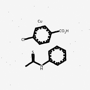 CC(=S)Nc1ccccc1.O=C(O)c1ccc(Cl)cc1.[Cu]